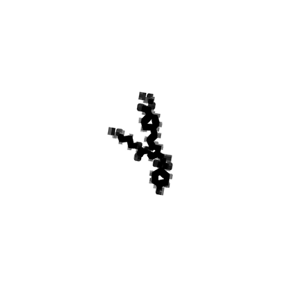 CCCCOC(=O)N1CC(NS(=O)(=O)c2ccc(Cl)cc2)CC1/C=C/c1ccc(C(=O)OC)cc1